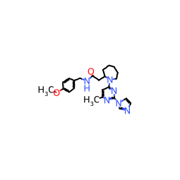 COc1ccc(CNC(=O)CC2CCCCCN2c2cc(C)nc(-n3ccnc3)n2)cc1